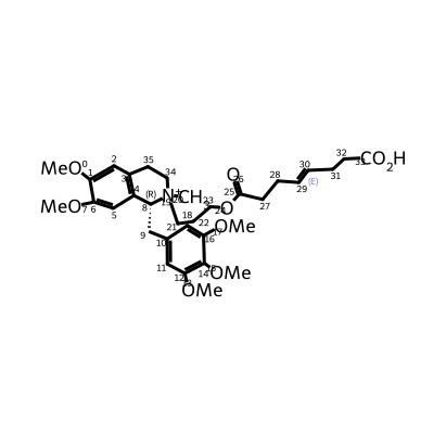 COc1cc2c(cc1OC)[C@@H](Cc1cc(OC)c(OC)c(OC)c1)[N+](C)(CCCOC(=O)CC/C=C/CCC(=O)O)CC2